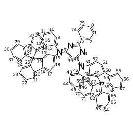 c1ccc(-c2nc(-n3c4ccccc4c4c5c(ccc43)-c3ccccc3C5(c3ccccc3)c3ccccc3)cc(-n3c4ccccc4c4c5c(ccc43)-c3ccccc3C5(c3ccccc3)c3ccccc3)n2)cc1